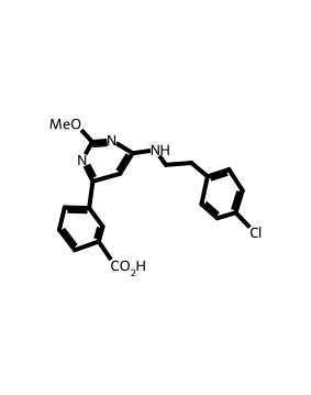 COc1nc(NCCc2ccc(Cl)cc2)cc(-c2cccc(C(=O)O)c2)n1